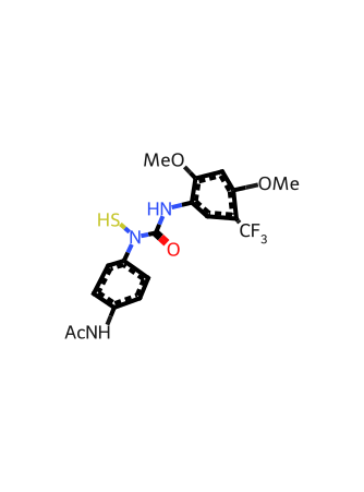 COc1cc(OC)c(C(F)(F)F)cc1NC(=O)N(S)c1ccc(NC(C)=O)cc1